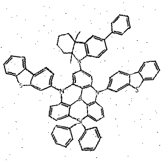 CC12CCCCC1(C)N(c1cc3c4c(c1)N(c1ccc5c(c1)sc1ccccc15)c1cccc5c1B4c1c(cccc1[Si]5(c1ccccc1)c1ccccc1)N3c1ccc3c(c1)sc1ccccc13)c1ccc(-c3ccccc3)cc12